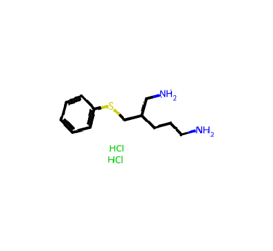 Cl.Cl.NCCCC(CN)CSc1ccccc1